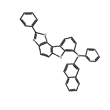 c1ccc(-c2nc3ccc4oc5c(N(c6ccccc6)c6ccc7ccccc7c6)cccc5c4c3o2)cc1